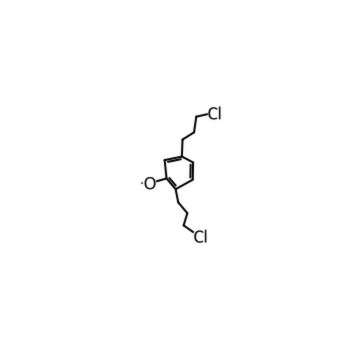 [O]c1cc(CCCCl)ccc1CCCCl